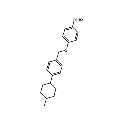 CCCCCCc1ccc(SCc2ccc(C3CCC(C)CC3)cc2)cc1